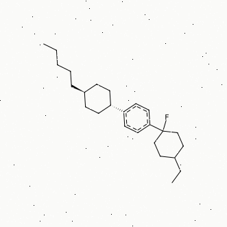 CCCCC[C@H]1CC[C@H](c2ccc(C3(F)CCC(CC)CC3)cc2)CC1